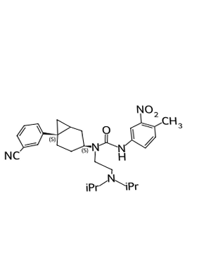 Cc1ccc(NC(=O)N(CCN(C(C)C)C(C)C)[C@H]2CC[C@]3(c4cccc(C#N)c4)CC3C2)cc1[N+](=O)[O-]